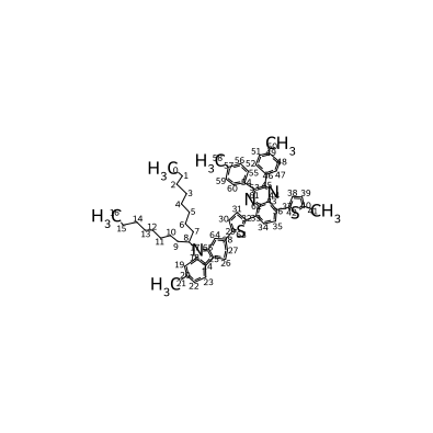 CCCCCCCCC(CCCCCCCC)n1c2cc(C)ccc2c2ccc(-c3ccc(-c4ccc(-c5ccc(C)s5)c5nc(-c6ccc(C)cc6)c(-c6ccc(C)cc6)nc45)s3)cc21